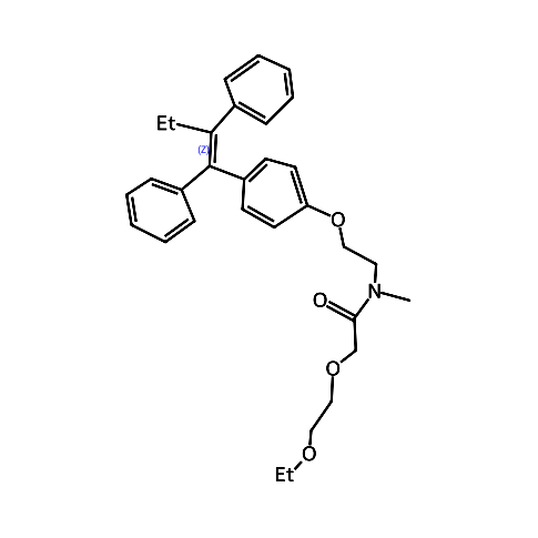 CCOCCOCC(=O)N(C)CCOc1ccc(/C(=C(/CC)c2ccccc2)c2ccccc2)cc1